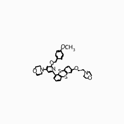 COc1ccc(COc2cc(N3CCOCC3)cc(-c3cccc4c3Sc3ccc(OCCN5CCOCC5)cc3S4)n2)cc1